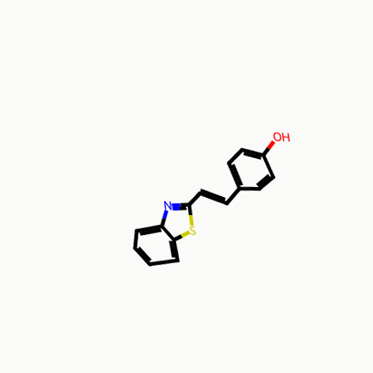 Oc1ccc(C=Cc2nc3ccccc3s2)cc1